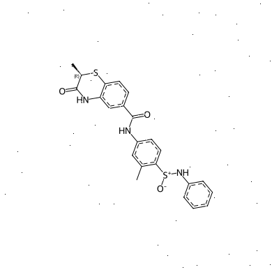 Cc1cc(NC(=O)c2ccc3c(c2)NC(=O)[C@@H](C)S3)ccc1[S+]([O-])Nc1ccccc1